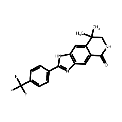 CC1(C)CNC(=O)c2cc3nc(-c4ccc(C(F)(F)F)cc4)[nH]c3cc21